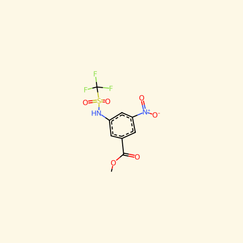 COC(=O)c1cc(NS(=O)(=O)C(F)(F)F)cc([N+](=O)[O-])c1